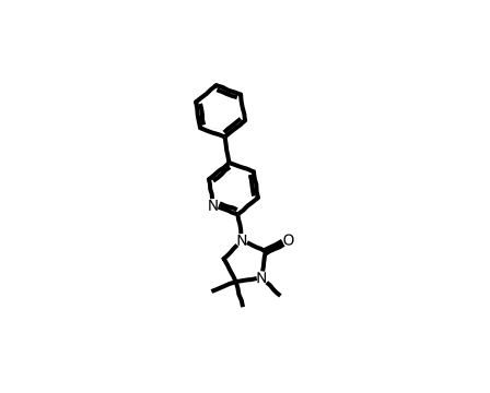 CN1C(=O)N(c2ccc(-c3ccccc3)cn2)CC1(C)C